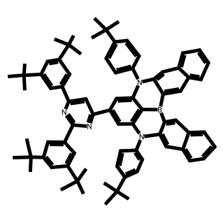 CC(C)(C)c1ccc(N2c3cc4ccccc4cc3B3c4cc5ccccc5cc4N(c4ccc(C(C)(C)C)cc4)c4cc(-c5cc(-c6cc(C(C)(C)C)cc(C(C)(C)C)c6)nc(-c6cc(C(C)(C)C)cc(C(C)(C)C)c6)n5)cc2c43)cc1